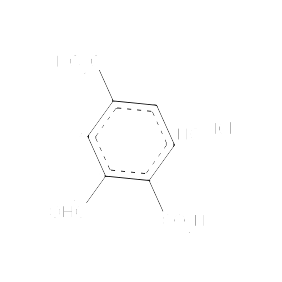 Cl.Cl.O=Cc1cc(C(=O)O)ccc1C(=O)O